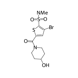 CNS(=O)(=O)c1sc(C(=O)N2CCC(O)CC2)cc1Br